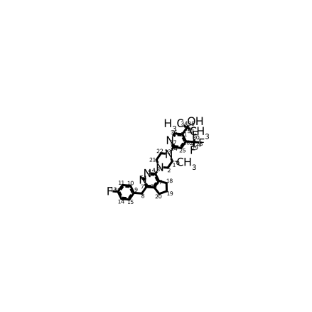 C[C@@H]1CN(c2nnc(Cc3ccc(F)cc3)c3c2CCC3)CCN1c1cc(C(F)(F)F)c(C(C)(C)O)cn1